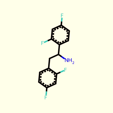 NC(Cc1ccc(F)cc1F)c1ccc(F)cc1F